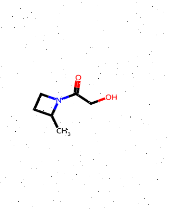 CC1CCN1C(=O)CO